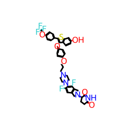 O=C1CCC(N2Cc3cc(F)c(N4CCN(CCCOc5ccc(Oc6c(-c7ccc(OC(F)(F)F)cc7)sc7cc(O)ccc67)cc5)CC4)c(F)c3C2)C(=O)N1